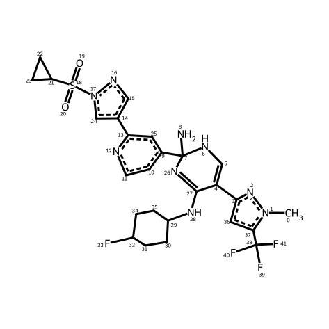 Cn1nc(C2=CNC(N)(c3ccnc(-c4cnn(S(=O)(=O)C5CC5)c4)c3)N=C2NC2CCC(F)CC2)cc1C(F)(F)F